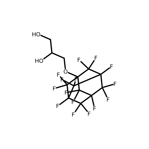 OCC(O)COC12C(F)(F)C3(F)C(F)(F)C(F)(C(F)(F)C(F)(C3(F)F)C1(F)F)C2(F)F